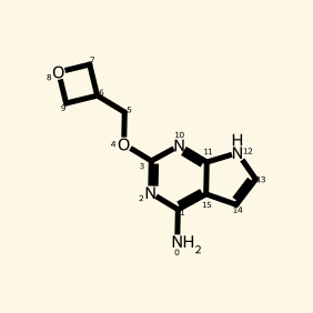 Nc1nc(OCC2COC2)nc2[nH]ccc12